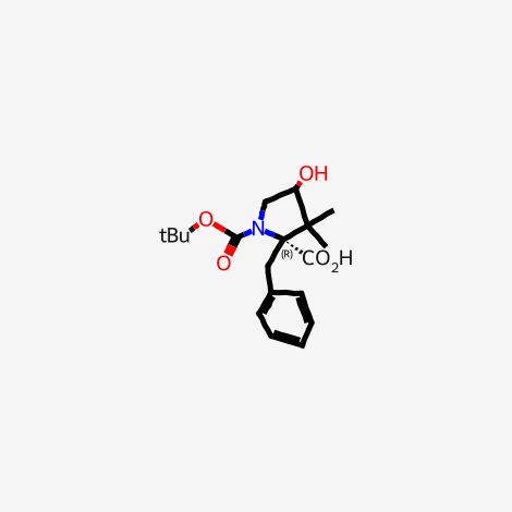 CC(C)(C)OC(=O)N1CC(O)C(C)(C)[C@]1(Cc1ccccc1)C(=O)O